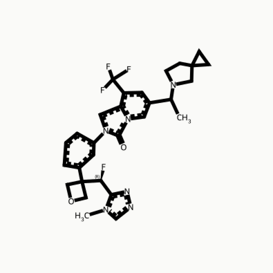 CC(c1cc(C(F)(F)F)c2cn(-c3cccc(C4([C@@H](F)c5nncn5C)COC4)c3)c(=O)n2c1)N1CCC2(CC2)C1